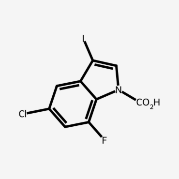 O=C(O)n1cc(I)c2cc(Cl)cc(F)c21